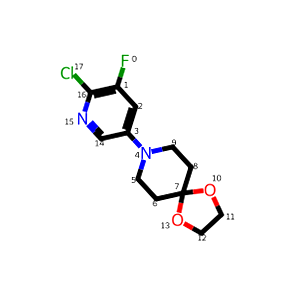 Fc1cc(N2CCC3(CC2)OCCO3)cnc1Cl